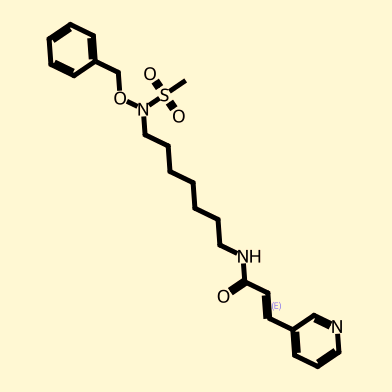 CS(=O)(=O)N(CCCCCCCNC(=O)/C=C/c1cccnc1)OCc1ccccc1